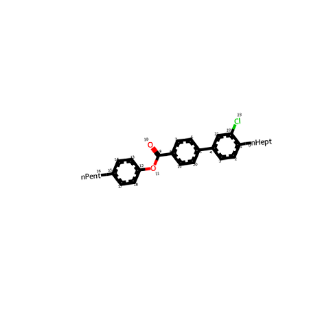 CCCCCCCc1ccc(-c2ccc(C(=O)Oc3ccc(CCCCC)cc3)cc2)cc1Cl